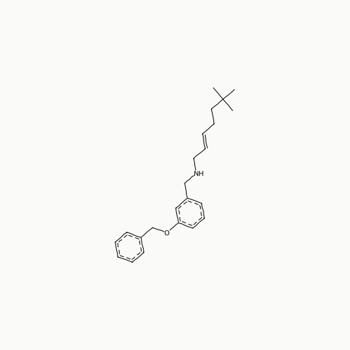 CC(C)(C)CCC=CCNCc1cccc(OCc2ccccc2)c1